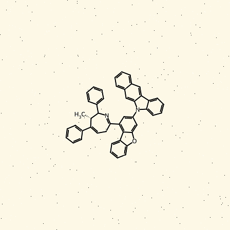 C[C@H]1C(c2ccccc2)=CCC(c2cc(-n3c4ccccc4c4cc5ccccc5cc43)cc3oc4ccccc4c23)=NC1c1ccccc1